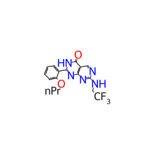 CCCOc1ccccc1-c1nc2nc(NCC(F)(F)F)ncc2c(=O)[nH]1